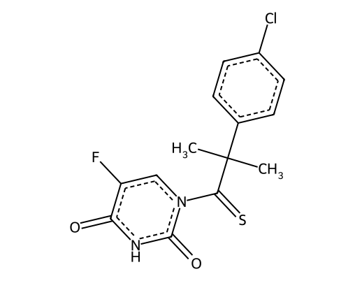 CC(C)(C(=S)n1cc(F)c(=O)[nH]c1=O)c1ccc(Cl)cc1